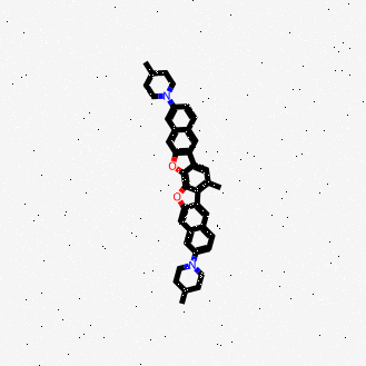 Cc1cc2c3cc4ccc(N5CCC(C)CC5)cc4cc3oc2c2oc3cc4cc(N5CCC(C)CC5)ccc4cc3c12